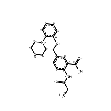 CCC(=O)Nc1ccc(CSc2ccccc2N2CCOCC2)cc1C(=O)O